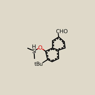 C[SiH](C)Oc1c(C(C)(C)C)ccc2ccc(C=O)cc12